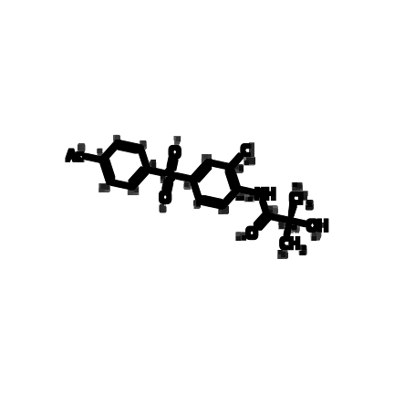 CC(=O)c1ccc(S(=O)(=O)c2ccc(NC(=O)[C@@](C)(O)C(F)(F)F)c(Cl)c2)cc1